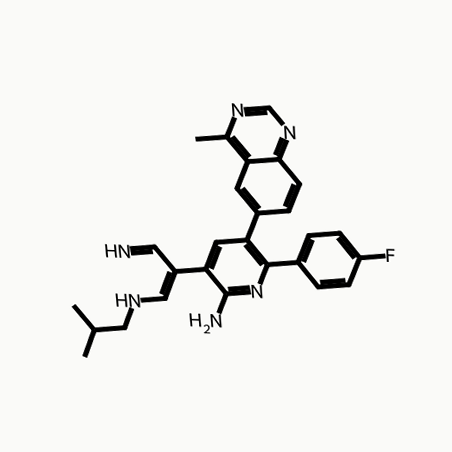 Cc1ncnc2ccc(-c3cc(/C(C=N)=C/NCC(C)C)c(N)nc3-c3ccc(F)cc3)cc12